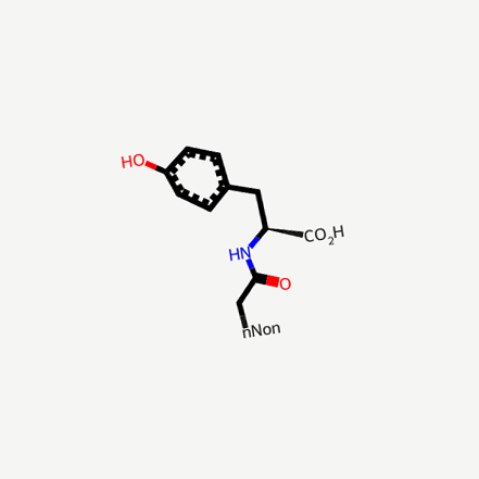 CCCCCCCCCCC(=O)N[C@@H](Cc1ccc(O)cc1)C(=O)O